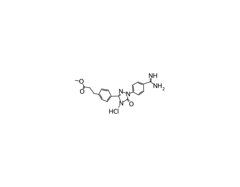 COC(=O)CCc1ccc(-c2nn(-c3ccc(C(=N)N)cc3)c(=O)n2C)cc1.Cl